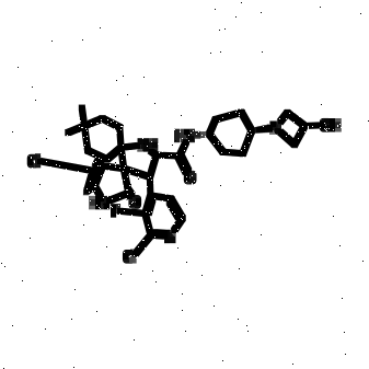 CC1(C)CCC2(CC1)NC(C(=O)N[C@H]1CC[C@H](N3CC(O)C3)CC1)C(c1ccnc(Cl)c1F)C21C(=O)Nc2cc(Cl)ccc21